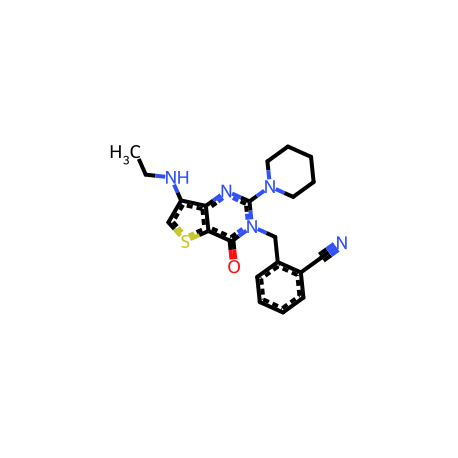 CCNc1csc2c(=O)n(Cc3ccccc3C#N)c(N3CCCCC3)nc12